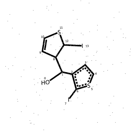 OC(c1ccsc1I)C1C=CSC1I